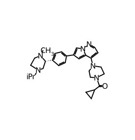 CC(C)N1CCN(C)[C@H](c2ccc(-c3cc4c(N5CCN(C(=O)C6CC6)CC5)ccnn4c3)cc2)C1